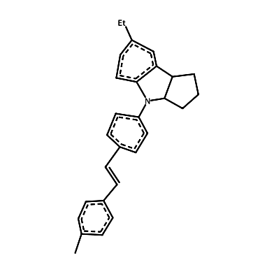 CCc1ccc2c(c1)C1CCCC1N2c1ccc(/C=C/c2ccc(C)cc2)cc1